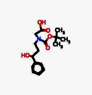 CC(C)(C)OC(=O)N(CCC(O)c1ccccc1)CC(=O)O